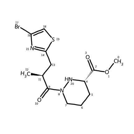 COC(=O)[C@@H]1CCCN(C(=O)[C@@H](C)Cc2nc(Br)cs2)N1